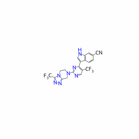 N#Cc1ccc2c(-c3nc(N4CCn5c(nnc5C(F)(F)F)C4)ncc3C(F)(F)F)c[nH]c2c1